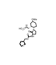 CO[C@@H]1CC[C@H](N2CCC(NC(=O)OCc3ccccc3)C2=O)[C@H](CNC(=O)O)C1